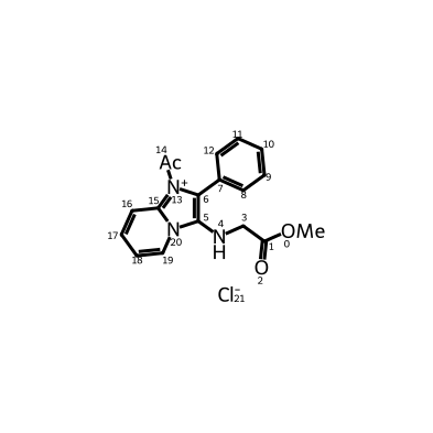 COC(=O)CNc1c(-c2ccccc2)[n+](C(C)=O)c2ccccn12.[Cl-]